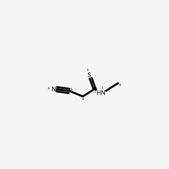 CNC(=S)CC#N